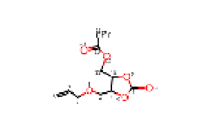 C=CCOCC1OC(=O)OC1COC(=O)CCC